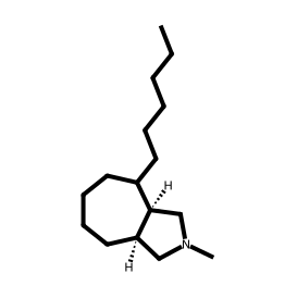 CCCCCCC1CCCC[C@@H]2CN(C)C[C@H]12